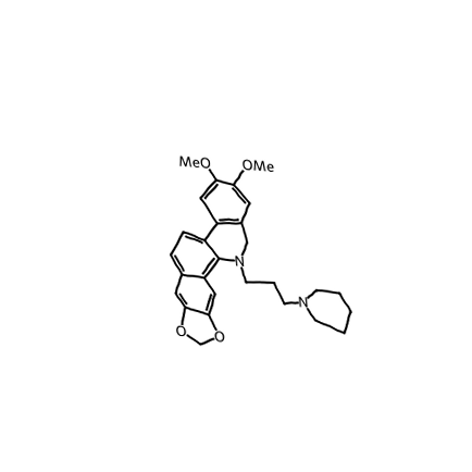 COc1cc2c(cc1OC)-c1ccc3cc4c(cc3c1N(CCCN1CCCCC1)C2)OCO4